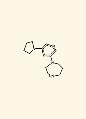 c1ncc(N2CCCNCC2)cc1N1CCCC1